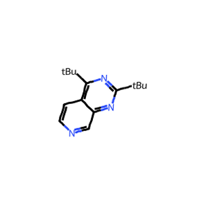 CC(C)(C)c1nc(C(C)(C)C)c2ccncc2n1